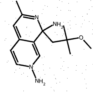 COC(C)(C)CC1(N)N=C(C)C=C2C=CN(N)C=C21